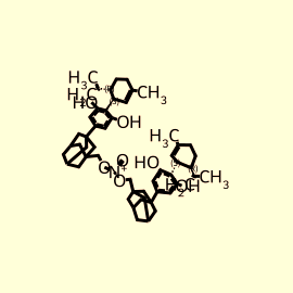 C=C(C)[C@@H]1CCC(C)=C[C@H]1c1c(O)cc(C23CC4CC(CC(CO[N+](=O)OCC56CC7CC(C5)CC(c5cc(O)c([C@@H]8C=C(C)CC[C@H]8C(=C)C)c(O)c5)(C7)C6)(C4)C2)C3)cc1O